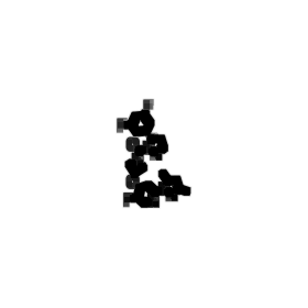 Cc1cc(C)n(-c2cc(OC3CN(C(=O)N4N=CC[C@H]4c4cc(F)cc(F)c4)C3)c(F)cn2)n1